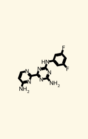 Nc1ccnc(-c2nc(N)nc(Nc3cc(F)cc(F)c3)n2)n1